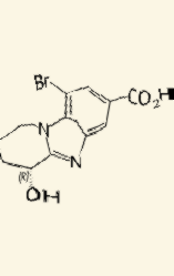 O=C(O)c1cc(Br)c2c(c1)nc1n2CCC[C@H]1O